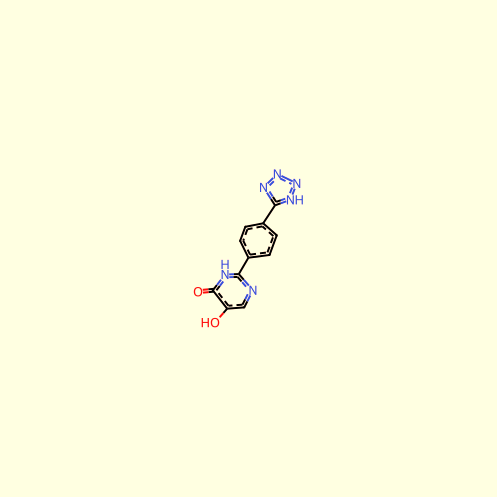 O=c1[nH]c(-c2ccc(-c3nnn[nH]3)cc2)ncc1O